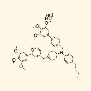 CCCCc1ccc(N(Cc2ccc(-c3cc(OC)c(OC)c(OC)c3)cc2)C2CCN(Cc3ccnc(-c4cc(OC)c(OC)c(OC)c4)c3)CC2)cc1.Cl.Cl